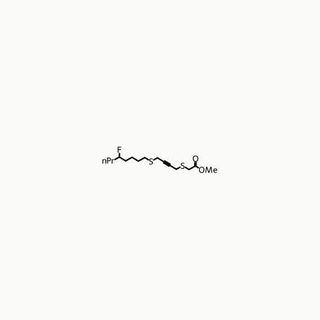 CCCC(F)CCCCSCC#CCSCC(=O)OC